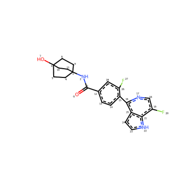 O=C(NC12CCC(O)(CC1)CC2)c1ccc(-c2ncc(F)c3[nH]ccc23)c(F)c1